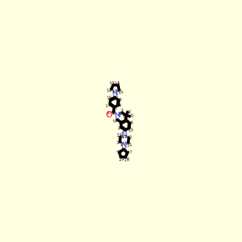 CC1(C)CN(C(=O)c2ccc(N3CCCC3)cc2)Cc2cc(N3CCN(C4CCCC4)CC3)ccc21